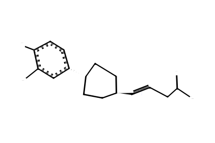 Fc1ccc([C@H]2CC[C@H](/C=C/CC(F)F)CC2)cc1F